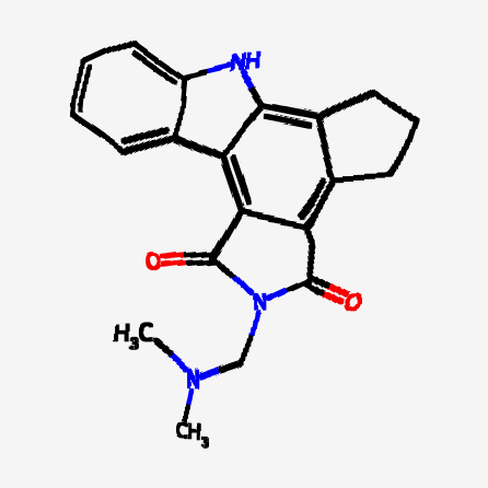 CN(C)CN1C(=O)c2c3c(c4[nH]c5ccccc5c4c2C1=O)CCC3